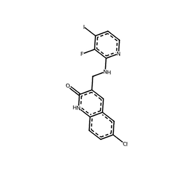 O=c1[nH]c2ccc(Cl)cc2cc1CNc1nccc(I)c1F